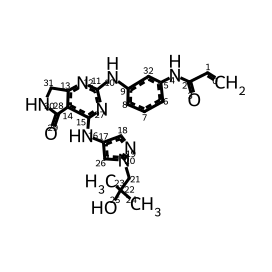 C=CC(=O)Nc1cccc(Nc2nc3c(c(Nc4cnn(CC(C)(C)O)c4)n2)C(=O)NC3)c1